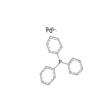 [Pd-5].c1ccc(P(c2ccccc2)c2ccccc2)cc1